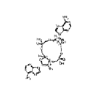 Nc1ncnc2c1ncn2[C@@H]1O[C@@H]2COP(=O)(O)CO[C@@H]3[C@@H](O)[C@@H](COP(=O)(O)CO[C@@H]2[C@H]1O)O[C@H]3n1cnc2c(N)ncnc21